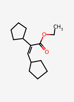 CCOC(=O)C(=CC1CCCC1)C1CCCC1